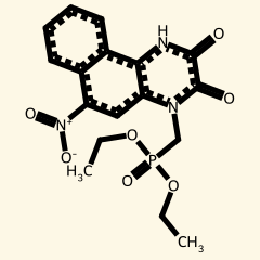 CCOP(=O)(Cn1c(=O)c(=O)[nH]c2c3ccccc3c([N+](=O)[O-])cc21)OCC